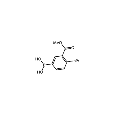 CCCc1ccc(B(O)O)cc1C(=O)OC